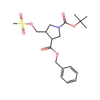 CC(C)(C)OC(=O)N1CC(COS(C)(=O)=O)C(C(=O)OCc2ccccc2)C1